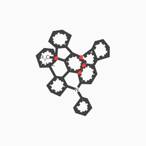 CC1(C)c2ccccc2-c2cccc(-c3c(-c4ccccc4)cccc3N(c3ccccc3)c3ccc4c(c3)sc3ccccc34)c21